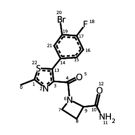 Cc1nc(C(=O)N2CCC2C(N)=O)c(-c2ccc(F)c(Br)c2)s1